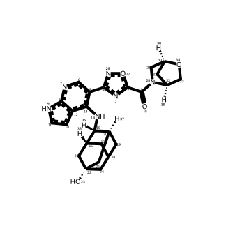 O=C(c1nc(-c2cnc3[nH]ccc3c2N[C@H]2[C@@H]3CC4C[C@H]2C[C@@](O)(C4)C3)no1)N1C[C@@H]2C[C@H]1CO2